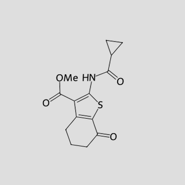 COC(=O)c1c(NC(=O)C2CC2)sc2c1CCCC2=O